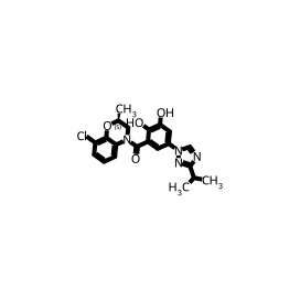 CC(C)c1ncn(-c2cc(O)c(O)c(C(=O)N3C[C@H](C)Oc4c(Cl)cccc43)c2)n1